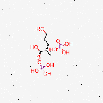 CC(=CCCO)C(=O)O.O=P(O)(O)O.O=P(O)(O)O